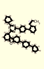 C/C=C\c1ccccc1-c1ccc(-c2nc(-c3ccccc3)nc(-c3cccc4oc5cc(-c6ccc(-c7ccccc7)cc6)ccc5c34)n2)cc1